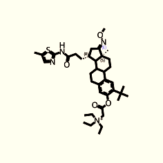 CC[N+](CC)(CC)CC(=O)Oc1cc2c(cc1C(C)(C)C)C1CC[C@]3(C)/C(=N/OC)C[C@@H](CCC(=O)Nc4ncc(C)s4)C3C1CC2